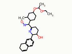 CCOC(C)OC1CCC(C(N=O)C2=NC(c3ccc4c(c3)CCC=C4)C(O)CC2)C(C)C1